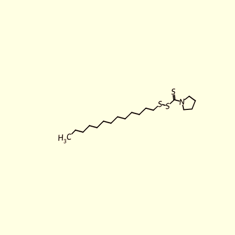 CCCCCCCCCCCCCSSC(=S)N1CCCC1